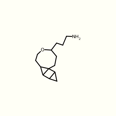 NCCCC1CCC23C4CC4C2C3CCO1